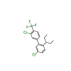 CCC(CC)c1ccc(Cl)cc1-c1ccc(C(F)(F)F)c(Cl)c1